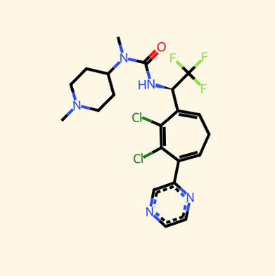 CN1CCC(N(C)C(=O)N[C@H](C2=CCC=C(c3cnccn3)C(Cl)=C2Cl)C(F)(F)F)CC1